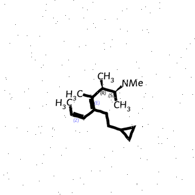 C/C=C\C(CCC1CC1)=C(/C)[C@@H](C)[C@H](C)NC